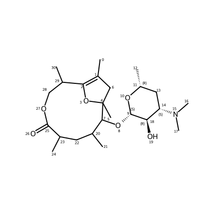 CC1=C2OC(C)(C1)C(O[C@@H]1O[C@H](C)C[C@H](N(C)C)[C@H]1O)C(C)CC(C)C(=O)OCC2C